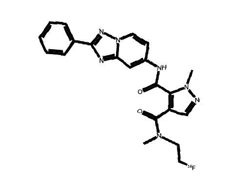 CN(CC[18F])C(=O)c1cnn(C)c1C(=O)Nc1ccn2nc(-c3ccccc3)nc2c1